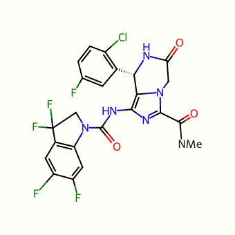 CNC(=O)c1nc(NC(=O)N2CC(F)(F)c3cc(F)c(F)cc32)c2n1CC(=O)N[C@H]2c1cc(F)ccc1Cl